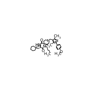 CCCCN1C(=O)[C@@H](CC2(O)CCCCC2)NC(=O)C12CCN(Cc1c(C)nn(-c3ccc(OC)cc3)c1C)CC2